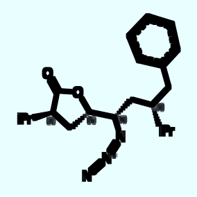 CC(C)[C@@H](Cc1ccccc1)C[C@H](N=[N+]=[N-])[C@@H]1C[C@@H](C(C)C)C(=O)O1